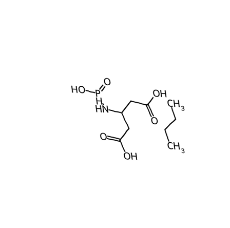 CCCC.O=C(O)CC(CC(=O)O)N[PH](=O)O